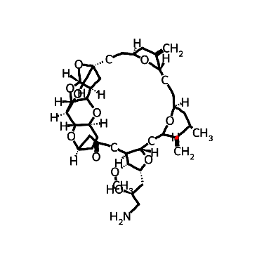 C=C1C[C@@H]2CC[C@]34C[C@@H]5[C@H](O[C@H]6[C@@H](O3)[C@H]3O[C@H](CC[C@@H]3O[C@H]56)CC(=O)C[C@@H]3[C@@H](OC)[C@@H](C[C@H](O)CN)O[C@H]3C[C@H]3O[C@@H](CC[C@@H]1O2)C[C@@H](C)C3=C)O4